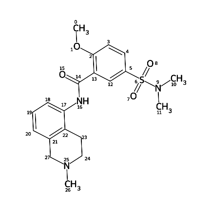 COc1ccc(S(=O)(=O)N(C)C)cc1C(=O)Nc1cccc2c1CCN(C)C2